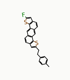 Cc1ccc(CCc2cc3ccc4cc5c(ccc6cc(F)sc65)cc4c3s2)cc1